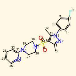 Cc1nn(-c2ccc(F)cc2)c(C)c1S(=O)(=O)N1CCN(c2ccccn2)CC1